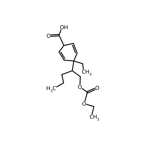 CCCC(COC(=O)OCC)C1(CC)C=CC(C(=O)O)C=C1